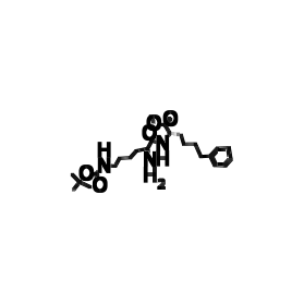 COC(=O)[C@H](CCCCc1ccccc1)NC(=O)[C@@H](N)CCCCNC(=O)OC(C)(C)C